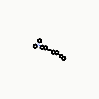 C1=C(c2ccc3cc(/C=C/c4ccc5cc(N(c6ccccc6)c6ccccc6)ccc5c4)ccc3c2)Cc2ccccc21